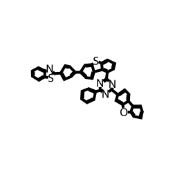 c1ccc(-c2nc(-c3ccc4c(c3)oc3ccccc34)nc(-c3cccc4sc5cc(-c6ccc(-c7nc8ccccc8s7)cc6)ccc5c34)n2)cc1